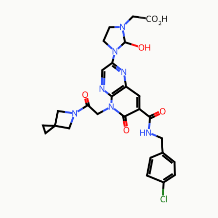 O=C(O)CN1CCN(c2cnc3c(cc(C(=O)NCc4ccc(Cl)cc4)c(=O)n3CC(=O)N3CC4(CC4)C3)n2)C1O